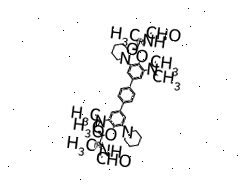 C[C@@H](NC=O)C(=O)Oc1c(N(C)C)cc(-c2ccc(-c3cc(N(C)C)c(OC(=O)[C@@H](C)NC=O)c(N4CCCCC4)c3)cc2)cc1N1CCCCC1